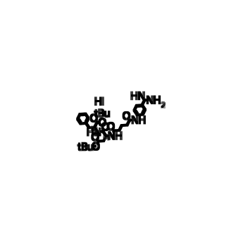 CC(C)(C)OC(=O)C[C@H](NC(=O)CCCC(=O)Nc1ccc(C(=N)N)cc1)C(=O)N[C@@H](Cc1ccccc1)C(=O)OC(C)(C)C.I